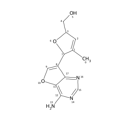 CC1=CC(CO)OC1c1coc2c(N)ncnc12